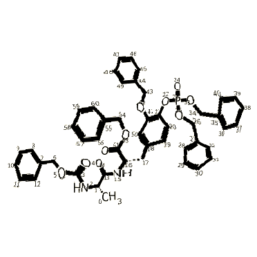 C[C@H](NC(=O)OCc1ccccc1)C(=O)N[C@@H](Cc1ccc(OP(=O)(OCc2ccccc2)OCc2ccccc2)c(OCc2ccccc2)c1)C(=O)OCc1ccccc1